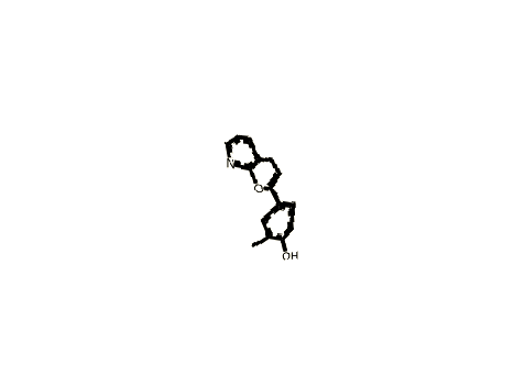 Cc1cc(C2=CCc3cccnc3O2)ccc1O